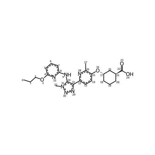 CCCOc1cccc(Nc2c(-c3ccc(O[C@H]4CCC[C@H](C(=O)O)C4)c(C)n3)nnn2C)n1